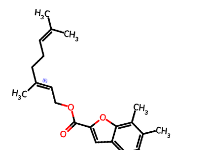 CC(C)=CCC/C(C)=C/COC(=O)c1cc2cc(O)c(C)c(C)c2o1